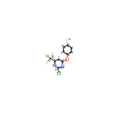 Fc1ccc(Oc2cc(C(F)(F)F)nc(Cl)n2)cc1